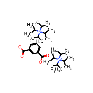 CC(C)[N+](C(C)C)(C(C)C)C(C)C.CC(C)[N+](C(C)C)(C(C)C)C(C)C.O=C([O-])c1cccc(C(=O)[O-])c1